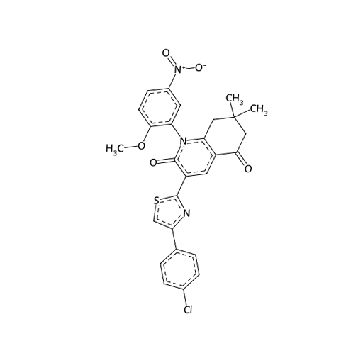 COc1ccc([N+](=O)[O-])cc1-n1c2c(cc(-c3nc(-c4ccc(Cl)cc4)cs3)c1=O)C(=O)CC(C)(C)C2